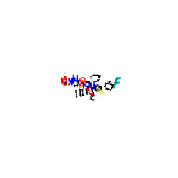 C[C@@H]1CN(c2ccc(S(=O)(=O)N3CC(=O)N(c4cc(-c5ccc(F)cc5)sc4C(=O)O)C(C4CCCCC4)C3)cn2)C[C@H](C)O1